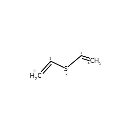 C=[C]SC=C